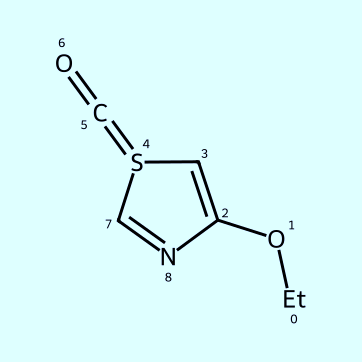 CCOC1=CS(=C=O)C=N1